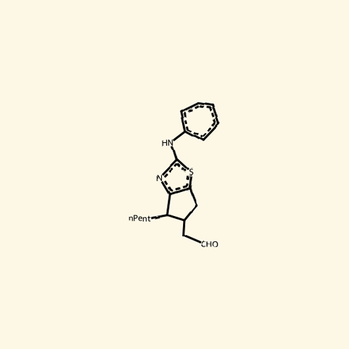 CCCCCC1c2nc(Nc3ccccc3)sc2CC1CC=O